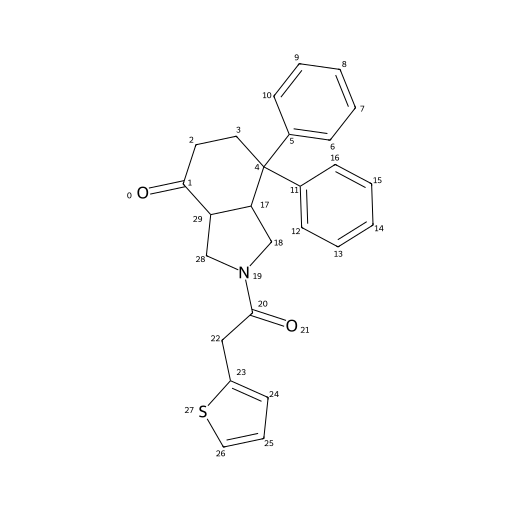 O=C1CCC(c2ccccc2)(c2ccccc2)C2CN(C(=O)Cc3cccs3)CC12